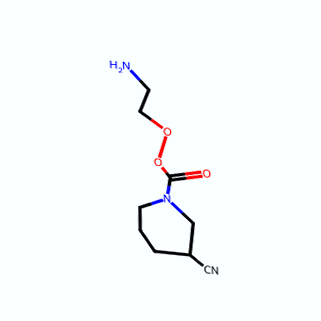 N#CC1CCCN(C(=O)OOCCN)C1